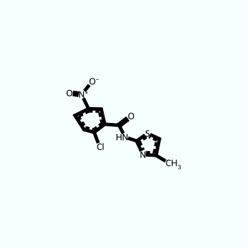 Cc1csc(NC(=O)c2cc([N+](=O)[O-])ccc2Cl)n1